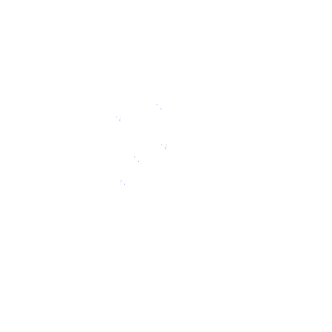 N#Cc1nc2c3ncccc3c3c4ccccc4c4ccccc4c3c2nc1C#N